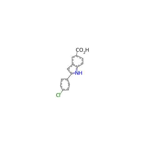 O=C(O)c1ccc2[nH]c(-c3ccc(Cl)cc3)cc2c1